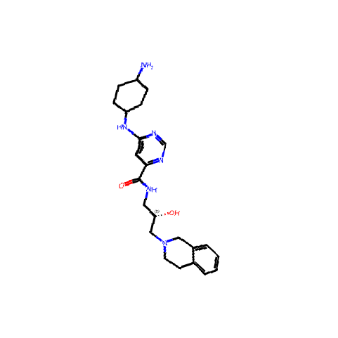 NC1CCC(Nc2cc(C(=O)NC[C@H](O)CN3CCc4ccccc4C3)ncn2)CC1